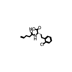 C=CCCC(=O)N[C@@H](CCc1ccccc1Cl)C(=O)O